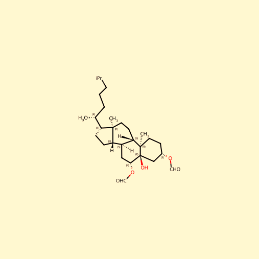 CC(C)CCC[C@@H](C)[C@H]1CC[C@H]2[C@@H]3C[C@@H](OC=O)[C@@]4(O)C[C@@H](OC=O)CC[C@]4(C)[C@H]3CC[C@]12C